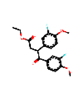 CCOC(=O)CC(C(=O)c1ccc(OC)c(F)c1)c1ccc(OC)c(F)c1